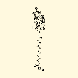 CC(=O)CCCCCCCCCCCCCC[C@H]1CC[C@H]2[C@@H]3CCC4NC(=O)C=C[C@]4(C)[C@H]3CC[C@]12C